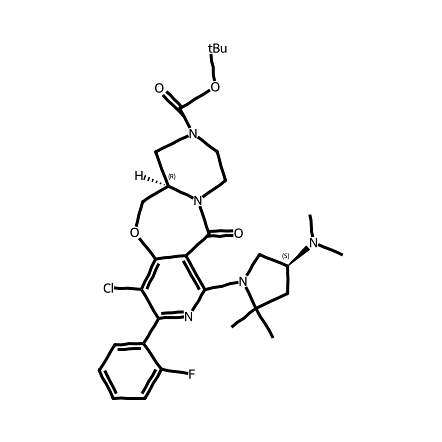 CN(C)[C@@H]1CN(c2nc(-c3ccccc3F)c(Cl)c3c2C(=O)N2CCN(C(=O)OC(C)(C)C)C[C@@H]2CO3)C(C)(C)C1